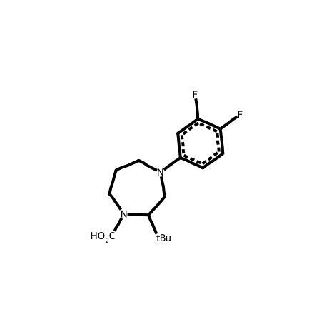 CC(C)(C)C1CN(c2ccc(F)c(F)c2)CCCN1C(=O)O